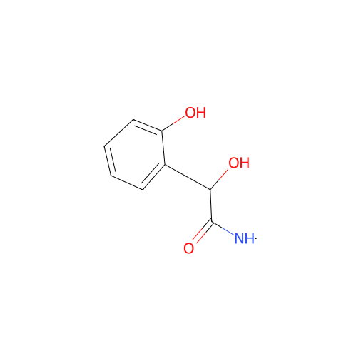 [NH]C(=O)C(O)c1ccccc1O